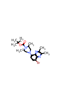 Cc1nc2c(Br)ccc(N3CC(C)N(C(=O)OC(C)(C)C)[C@@H](C)C3)c2nc1C